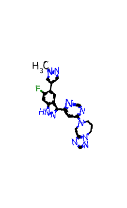 Cn1cc(-c2cc3c(-c4cc(N5CCCn6ncnc6C5)ncn4)n[nH]c3cc2F)cn1